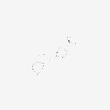 O=[N+]([O-])c1ccc(CN2CCc3ccccc32)cc1